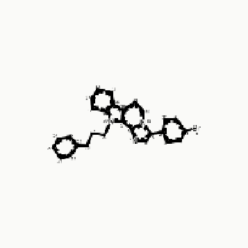 Brc1ccc(-c2cnc3c4c(ccn23)c2ccccc2n4CCCc2ccccc2)cc1